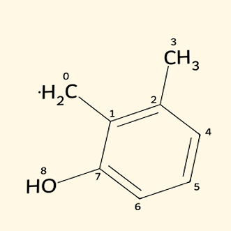 [CH2]c1c(C)cccc1O